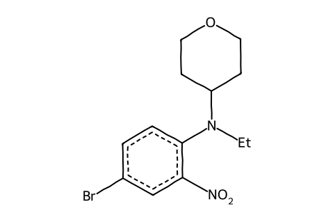 CCN(c1ccc(Br)cc1[N+](=O)[O-])C1CCOCC1